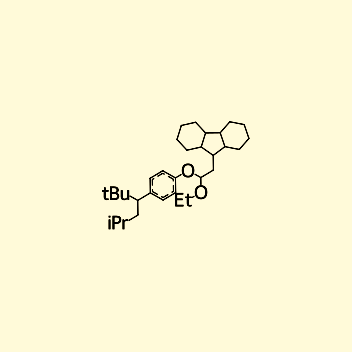 CCOC(CC1C2CCCCC2C2CCCCC21)Oc1ccc(C(CC(C)C)C(C)(C)C)cc1